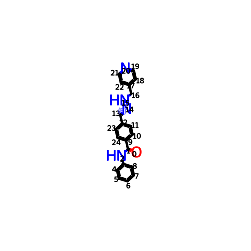 O=C(Nc1ccccc1)c1ccc(/C=N/NCc2ccncc2)cc1